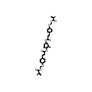 C=C(C)C(=O)OCOc1ccc(/C=C/C(=O)Oc2ccc(OC(=O)/C=C/c3ccc(OCOC(=O)C(=C)C)cc3)c(C)c2)cc1